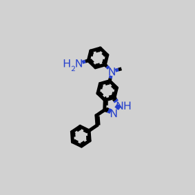 CN(c1cccc(N)c1)c1ccc2c(C=Cc3ccccc3)n[nH]c2c1